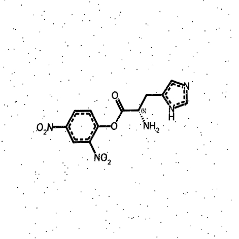 N[C@@H](Cc1cnc[nH]1)C(=O)Oc1ccc([N+](=O)[O-])cc1[N+](=O)[O-]